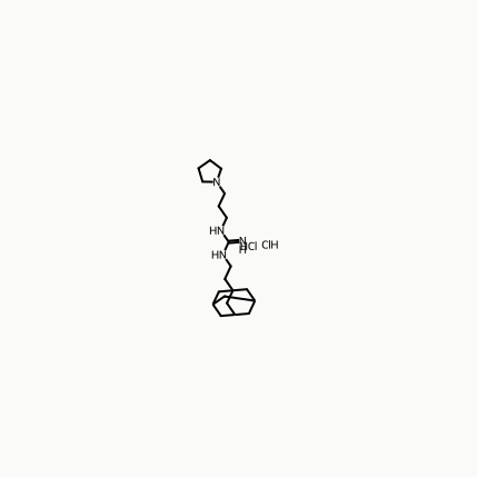 Cl.Cl.N=C(NCCCN1CCCC1)NCCC12CC3CC(CC(C3)C1)C2